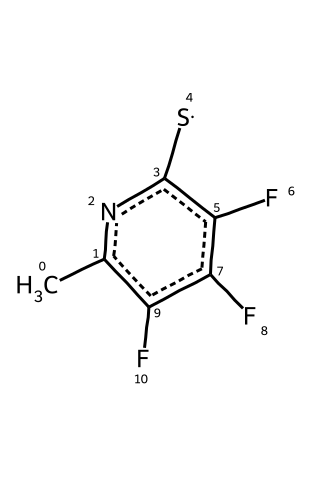 Cc1nc([S])c(F)c(F)c1F